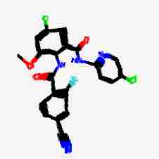 COc1cc(Cl)cc(C(=O)Nc2ccc(Cl)cn2)c1NC(=O)c1ccc(C#N)cc1F